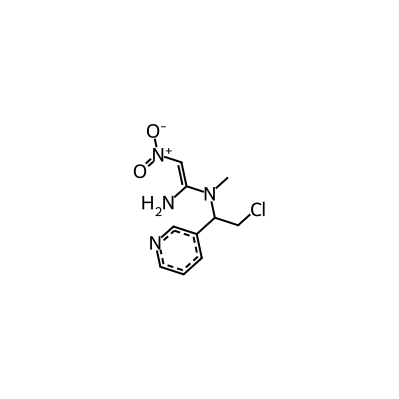 CN(C(N)=C[N+](=O)[O-])C(CCl)c1cccnc1